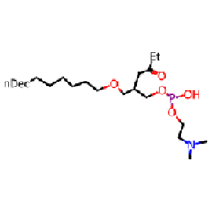 CCCCCCCCCCCCCCCCOCC(COP(O)OCCN(C)C)CC(=O)CC